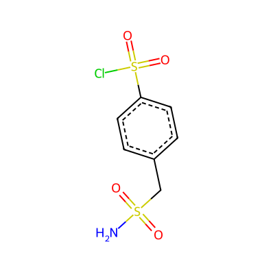 NS(=O)(=O)Cc1ccc(S(=O)(=O)Cl)cc1